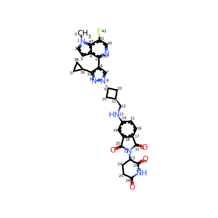 Cn1ccc2c(-c3cn([C@H]4C[C@H](CNc5ccc6c(c5)C(=O)N(C5CCC(=O)NC5=O)C6=O)C4)nc3C3CC3)ncc(F)c21